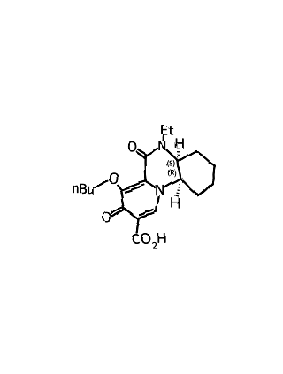 CCCCOc1c2n(cc(C(=O)O)c1=O)[C@@H]1CCCC[C@@H]1N(CC)C2=O